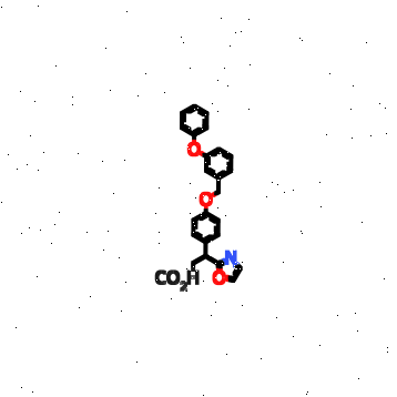 O=C(O)CC(c1ccc(OCc2cccc(Oc3ccccc3)c2)cc1)c1ncco1